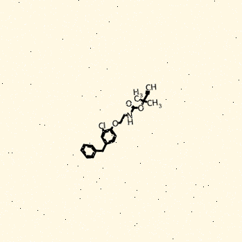 C#CC(C)(C)OC(=O)NCCOc1ccc(Cc2ccccc2)cc1Cl